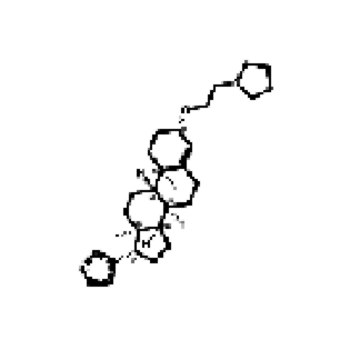 C[C@]12CC[C@H]3[C@@H](CCC4=C[C@@H](OCCN5CCCC5)CC[C@@]43C)[C@H]1CC[C@@H]2c1ccsc1